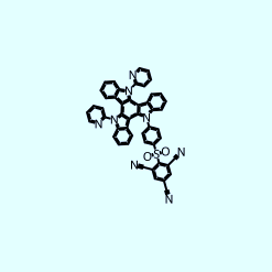 N#Cc1cc(C#N)c(S(=O)(=O)c2ccc(-n3c4ccccc4c4c3c3c5ccccc5n(-c5ccccn5)c3c3c5ccccc5n(-c5ccccn5)c43)cc2)c(C#N)c1